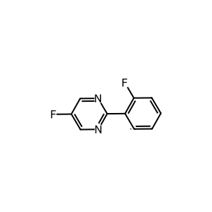 Fc1cnc(-c2[c]cccc2F)nc1